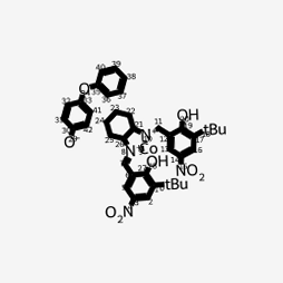 CC(C)(C)c1cc([N+](=O)[O-])cc(C=[N+]2[Co][N+](=Cc3cc([N+](=O)[O-])cc(C(C)(C)C)c3O)C3CCCCC32)c1O.[O-]c1ccc(Oc2ccccc2)cc1